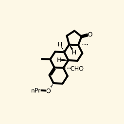 CCCO[C@@H]1C=C2C(C)C[C@@H]3[C@H](CC[C@]4(C)C(=O)CC[C@@H]34)[C@@]2(C=O)CC1